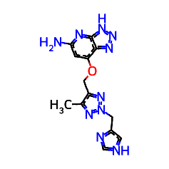 Cc1nn(Cc2c[nH]cn2)nc1COc1cc(N)nc2[nH]nnc12